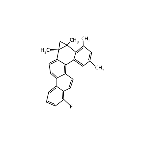 Cc1cc(C)c2c(c1)-c1c(ccc3c1ccc1c(F)cccc13)[C@]1(C)CC21C